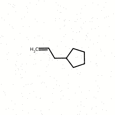 C=CC[C]1CCCC1